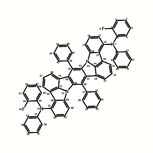 Fc1ccccc1N(c1ccccc1)c1cccc2c1c1cccc3c4c(-c5ccccc5)c5c(c(-c6ccccc6)c4n2c13)c1cccc2c3c(N(c4ccccc4)c4ccccc4F)cccc3n5c21